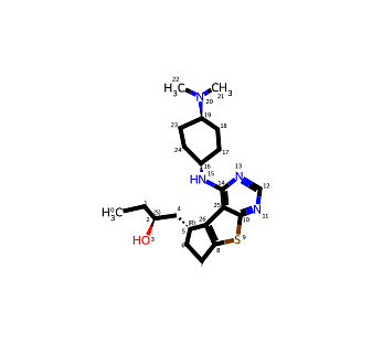 CC[C@H](O)C[C@H]1CCc2sc3ncnc(N[C@H]4CC[C@H](N(C)C)CC4)c3c21